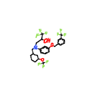 OC(CN(CC1CCCC(OC(F)(F)F)C1)c1cccc(OCc2cccc(C(F)(F)F)c2)c1)C(F)(F)F